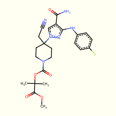 COC(=O)C(C)(C)OC(=O)N1CCC(CC#N)(n2cc(C(N)=O)c(Nc3ccc(F)cc3)n2)CC1